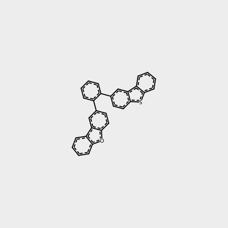 c1ccc(-c2ccc3sc4ccccc4c3c2)c(-c2ccc3oc4ccccc4c3c2)c1